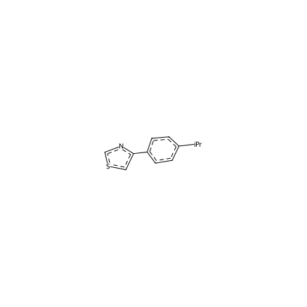 CC(C)c1ccc(-c2cscn2)cc1